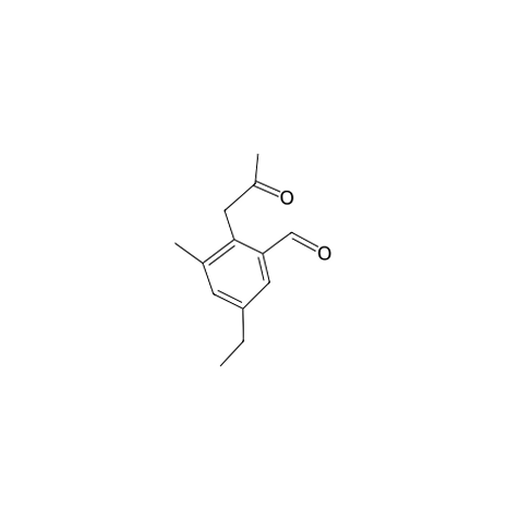 CCc1cc(C)c(CC(C)=O)c(C=O)c1